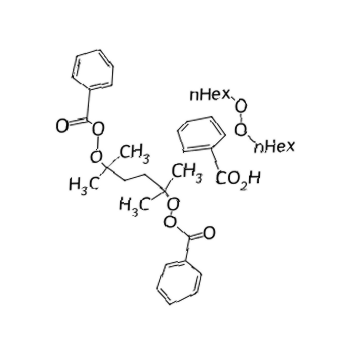 CC(C)(CCC(C)(C)OOC(=O)c1ccccc1)OOC(=O)c1ccccc1.CCCCCCOOCCCCCC.O=C(O)c1ccccc1